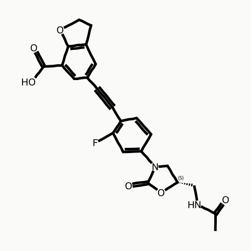 CC(=O)NC[C@H]1CN(c2ccc(C#Cc3cc4c(c(C(=O)O)c3)OCC4)c(F)c2)C(=O)O1